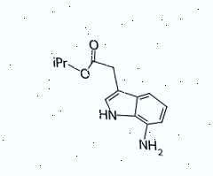 CC(C)OC(=O)Cc1c[nH]c2c(N)cccc12